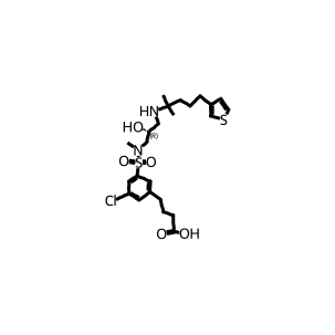 CN(C[C@H](O)CNC(C)(C)CCCc1ccsc1)S(=O)(=O)c1cc(Cl)cc(CCCC(=O)O)c1